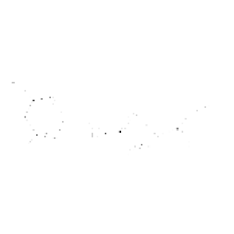 CCCCOC(=O)c1ccc(NCc2cc(C(F)(F)F)cc(C(F)(F)F)c2)cc1